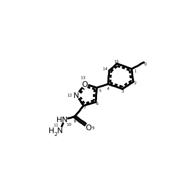 Cc1ccc(-c2cc(C(=O)NN)no2)cc1